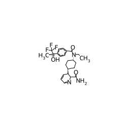 CCN(C(=O)c1ccc([C@](C)(O)C(F)(F)F)cc1)[C@H]1CC[C@H](C2C=CC=NC2C(N)=O)CC1